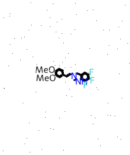 COc1ccc(/C=C/N(C=N)Cc2cc(F)c(F)c(F)c2)cc1OC